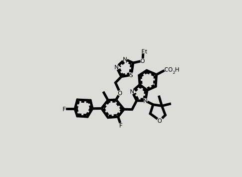 CCOc1nnc(COc2c(C)c(-c3ccc(F)cc3)cc(F)c2Cc2nc3ccc(C(=O)O)cc3n2C2COCC2(C)C)s1